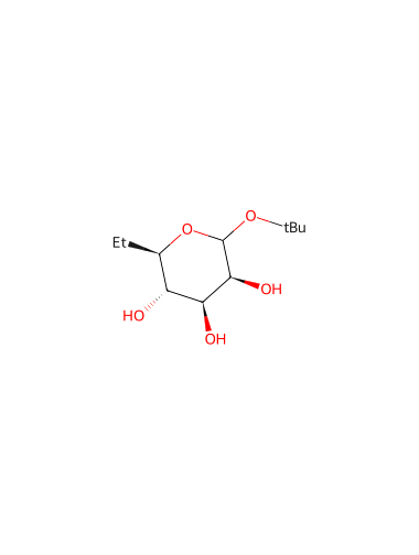 CC[C@H]1OC(OC(C)(C)C)[C@@H](O)[C@@H](O)[C@@H]1O